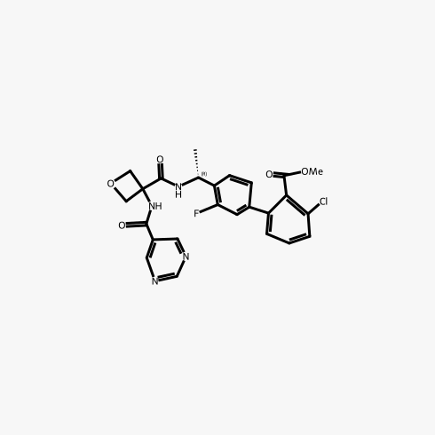 COC(=O)c1c(Cl)cccc1-c1ccc([C@@H](C)NC(=O)C2(NC(=O)c3cncnc3)COC2)c(F)c1